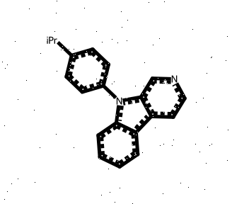 CC(C)c1ccc(-n2c3ccccc3c3ccncc32)cc1